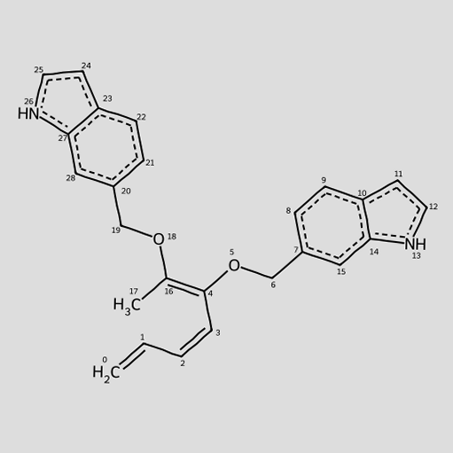 C=C/C=C\C(OCc1ccc2cc[nH]c2c1)=C(/C)OCc1ccc2cc[nH]c2c1